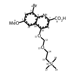 COc1cc(Br)c2nc(C(=O)O)cc(OCOCC[Si](C)(C)C)c2c1